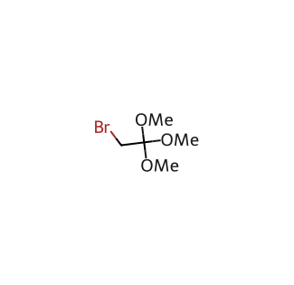 COC(CBr)(OC)OC